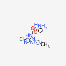 CN1CCN(c2nc(NCCS(=O)(=O)Nc3ccccc3N)c3cc(Cl)ncc3n2)CC1